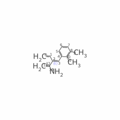 C=C/C(=C\c1cccc(C)c1C)C(=C)N